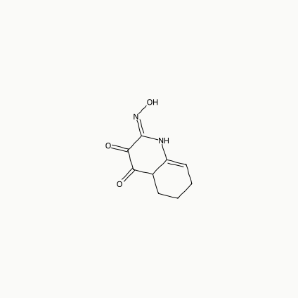 O=C1C(=O)C2CCCC=C2NC1=NO